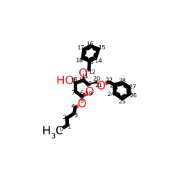 CCCCCOC1C[C@@H](O)[C@@H](OCc2ccccc2)[C@@H](COCc2ccccc2)O1